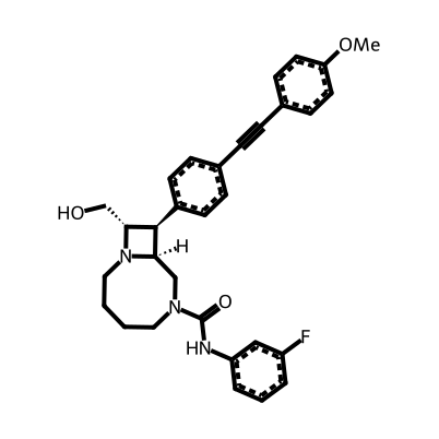 COc1ccc(C#Cc2ccc([C@@H]3[C@@H](CO)N4CCCCN(C(=O)Nc5cccc(F)c5)C[C@H]34)cc2)cc1